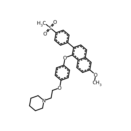 COc1ccc2c(Oc3ccc(OCCN4CCCCC4)cc3)c(-c3ccc(S(C)(=O)=O)cc3)ccc2c1